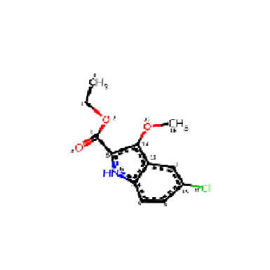 CCOC(=O)c1[nH]c2ccc(Cl)cc2c1OC